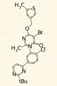 Cc1cc(COc2nc(C)n(-c3cc(-c4ccnc(C(C)(C)C)n4)ccc3Cl)c(=O)c2Br)cs1